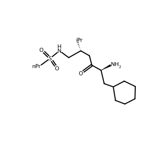 CCCS(=O)(=O)NC[C@@H](CC(=O)[C@@H](N)CC1CCCCC1)C(C)C